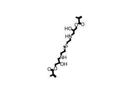 C=C(C)C(=O)OCC(O)CNCCSSCCNCC(O)COC(=O)C(=C)C